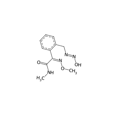 CNC(=O)C(=NOC)c1ccccc1CN=NO